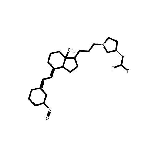 CC12CCC/C(=C\C=C3\CCCC(N=O)C3)C1CCC2CCCN1CC[C@H](CC(F)F)C1